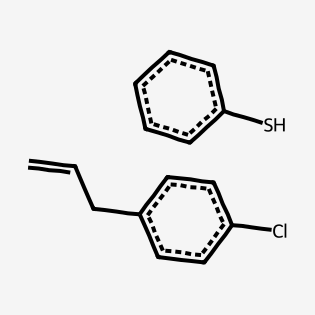 C=CCc1ccc(Cl)cc1.Sc1ccccc1